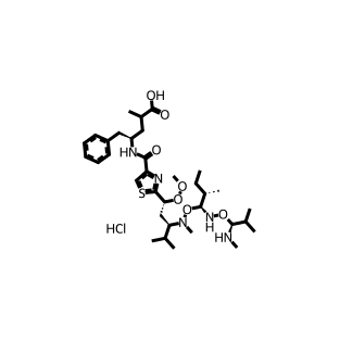 CC[C@H](C)[C@@H](NO[C@H](NC)C(C)C)ON(C)[C@H](C[C@@H](OOC)c1nc(C(=O)N[C@@H](Cc2ccccc2)CC(C)C(=O)O)cs1)C(C)C.Cl